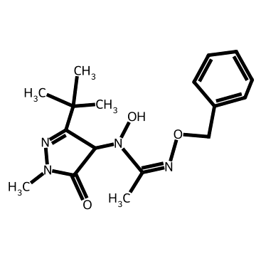 CC(=NOCc1ccccc1)N(O)C1C(=O)N(C)N=C1C(C)(C)C